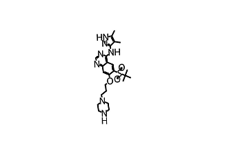 Cc1[nH]nc(Nc2ncnc3cc(OCCCN4CCNCC4)c(S(=O)(=O)C(C)(C)C)cc23)c1C